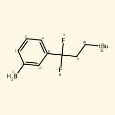 Bc1cccc(C(F)(F)CCC(C)(C)C)c1